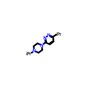 CC(C)c1ccc(N2CCN(C(C)C)CC2)nn1